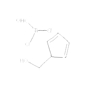 O=[CH][Ti]([Cl])[Cl].O[CH]C1C=CC=C1